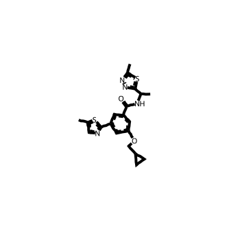 Cc1cnc(-c2cc(OCC3CC3)cc(C(=O)NC(C)c3nnc(C)s3)c2)s1